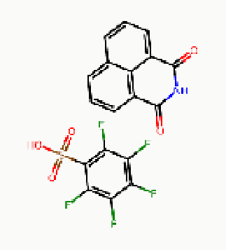 O=C1NC(=O)c2cccc3cccc1c23.O=S(=O)(O)c1c(F)c(F)c(F)c(F)c1F